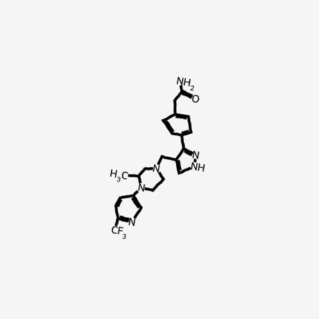 CC1CN(Cc2c[nH]nc2-c2ccc(CC(N)=O)cc2)CCN1c1ccc(C(F)(F)F)nc1